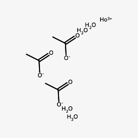 CC(=O)[O-].CC(=O)[O-].CC(=O)[O-].O.O.O.O.[Ho+3]